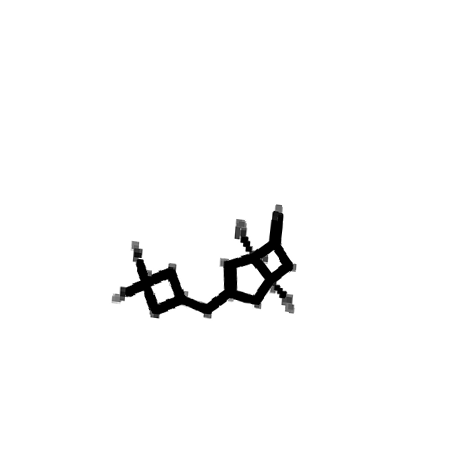 O=C1C[C@H]2CC(CC3CC(F)(F)C3)=C[C@@H]12